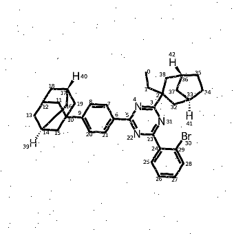 CCC1(c2nc(-c3ccc(C45CC6C[C@H](C4)C[C@H](C6)C5)cc3)nc(-c3ccccc3Br)n2)C[C@@H]2CC[C@H](C2)C1